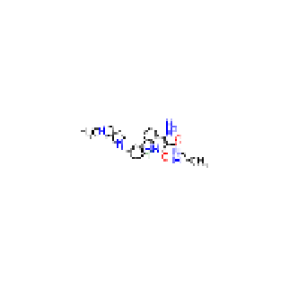 CCCNC(=O)c1c(N)c2cccc(-c3cc(CN4CCC5(CCN(C)C5)C4)ccc3F)c2[nH]c1=O